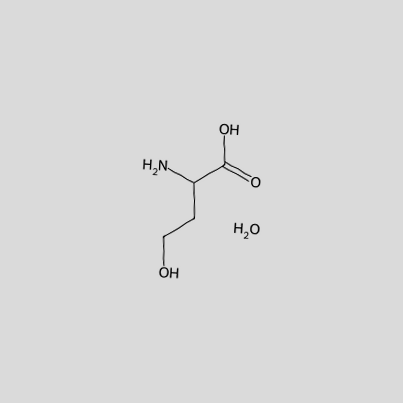 NC(CCO)C(=O)O.O